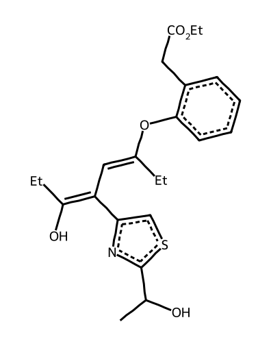 CCOC(=O)Cc1ccccc1O/C(=C/C(=C(/O)CC)c1csc(C(C)O)n1)CC